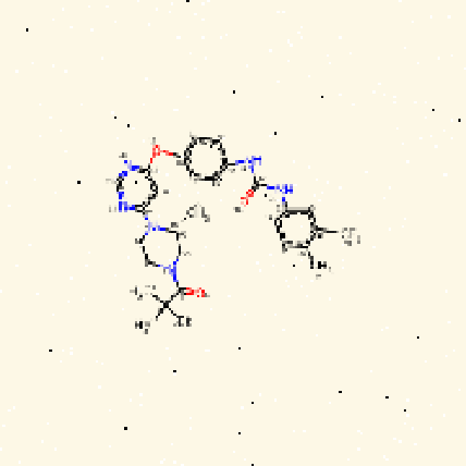 CCC(C)(C)C(=O)N1CCN(c2cc(Oc3ccc(NC(=O)Nc4ccc(C)c(C(F)(F)F)c4)cc3)ncn2)[C@H](C)C1